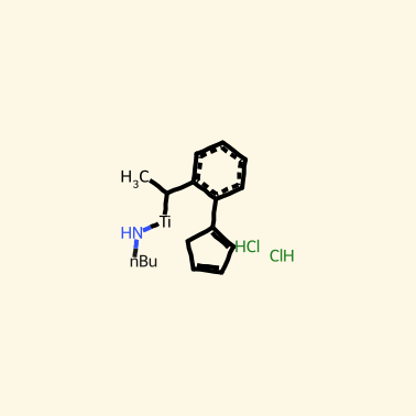 CCCC[NH][Ti][CH](C)c1ccccc1C1=CC=CC1.Cl.Cl